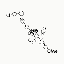 COc1ccc(SC[C@@H](CCN2CCOCC2)Nc2ccc(S(=O)(=O)NC(=O)c3ccc(N4CCN(Cc5ccccc5-c5ccc(Cl)cc5)CC4)cc3)cc2[N+](=O)[O-])cc1